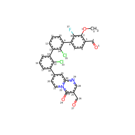 COc1c(C=O)ccc(-c2cccc(-c3cccc(-c4ccn5c(=O)c(C=O)cnc5c4)c3Cl)c2Cl)c1F